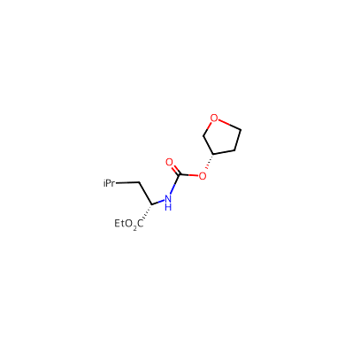 CCOC(=O)[C@H](CC(C)C)NC(=O)O[C@H]1CCOC1